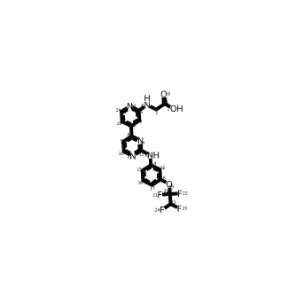 O=C(O)CNc1cc(-c2ccnc(Nc3cccc(OC(F)(F)C(F)F)c3)n2)ccn1